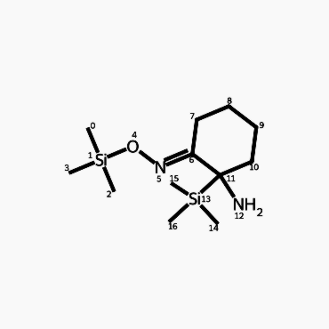 C[Si](C)(C)ON=C1CCCCC1(N)[Si](C)(C)C